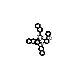 c1ccc2cc(-c3nc(-c4ccc5ccccc5c4)nc(-c4c(-n5c6ccccc6c6cc7ccccc7cc65)ccc5oc6ccccc6c45)n3)ccc2c1